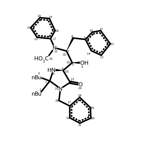 CCCCC1(CCCC)N[C@@H]([C@H](O)[C@H](Cc2ccccc2)N(C(=O)O)c2ccccc2)C(=O)N1Cc1ccccc1